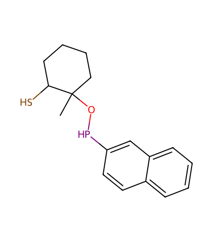 CC1(OPc2ccc3ccccc3c2)CCCCC1S